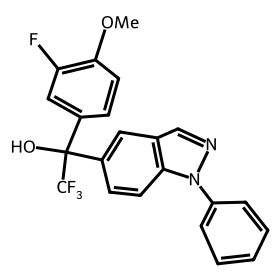 COc1ccc(C(O)(c2ccc3c(cnn3-c3ccccc3)c2)C(F)(F)F)cc1F